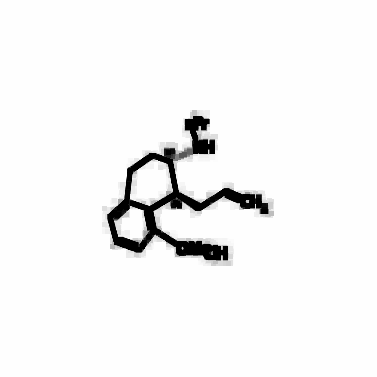 C=CC[C@H]1c2c(cccc2OC)CC[C@@H]1NCCC.Cl